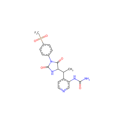 CC(c1ccncc1NC(N)=O)C1NC(=O)N(c2ccc(S(=O)(=O)C(F)(F)F)cc2)C1=O